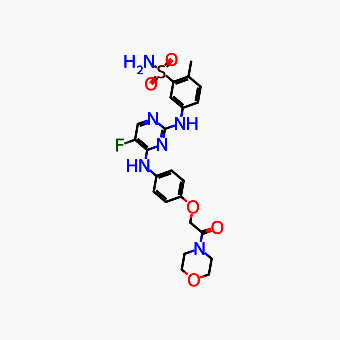 Cc1ccc(Nc2ncc(F)c(Nc3ccc(OCC(=O)N4CCOCC4)cc3)n2)cc1S(N)(=O)=O